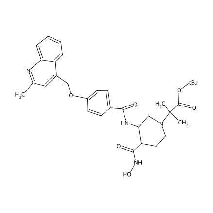 Cc1cc(COc2ccc(C(=O)NC3CN(C(C)(C)C(=O)OC(C)(C)C)CCC3C(=O)NO)cc2)c2ccccc2n1